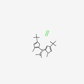 CC1=[C]([Ti+2]([C]2=CC(C(C)(C)C)=CC2C)=[Si](C)C)CC(C(C)(C)C)=C1.[Cl-].[Cl-]